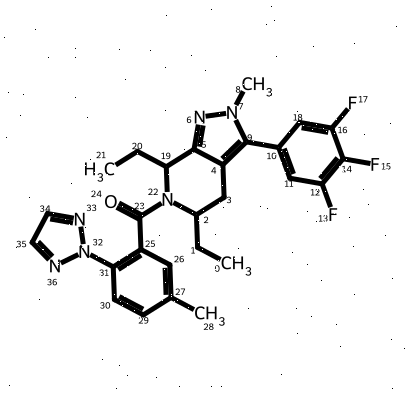 CCC1Cc2c(nn(C)c2-c2cc(F)c(F)c(F)c2)C(CC)N1C(=O)c1cc(C)ccc1-n1nccn1